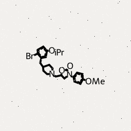 COc1ccc(N2CC(CN3CCC(Cc4cc(OC(C)C)ccc4Br)CC3)OC2=O)cc1